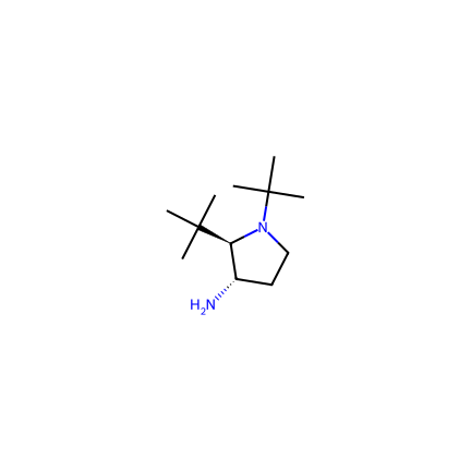 CC(C)(C)[C@@H]1[C@@H](N)CCN1C(C)(C)C